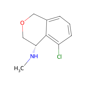 CN[C@@H]1COCc2cccc(Cl)c21